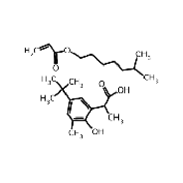 C=CC(=O)OCCCCCC(C)C.Cc1cc(C(C)(C)C)cc(C(C)C(=O)O)c1O